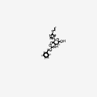 CCSc1nnn(CC(=O)C(CC(=O)O)NC(=O)OCc2ccccc2)n1